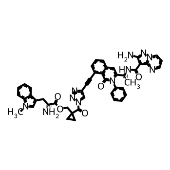 C[C@H](NC(=O)c1c(N)nn2cccnc12)c1cc2cccc(C#Cc3cn(C(=O)C4(COC(=O)[C@H](N)Cc5cn(C)c6ccccc56)CC4)nn3)c2c(=O)n1-c1ccccc1